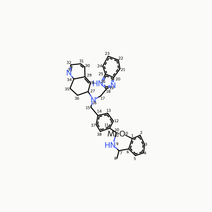 COc1ccccc1C(C)NCc1ccc(CN(Cc2nc3ccccc3[nH]2)C2C=C3C=CC=NC3CC2)cc1